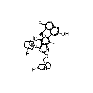 C#Cc1c(F)ccc2cc(O)cc(-c3oc(=O)c4c(N5C[C@H]6CC[C@@H](C5)N6)nc(OC[C@@]56CCCN5C[C@H](F)C6)nc4c3C)c12